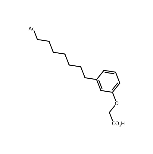 CC(=O)CCCCCCCc1cccc(OCC(=O)O)c1